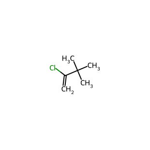 C=C(Cl)C(C)(C)C